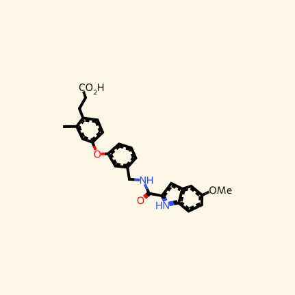 COc1ccc2[nH]c(C(=O)NCc3cccc(Oc4ccc(CCC(=O)O)c(C)c4)c3)cc2c1